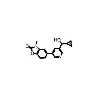 Cn1c(=O)oc2ccc(-c3cncc(C(O)C4CC4)c3)cc21